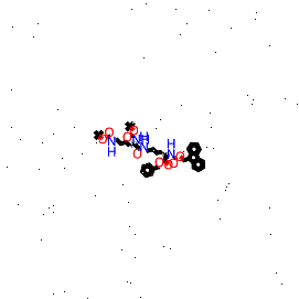 CC(C)(C)OC(=O)NCCCC[C@H](NC(=O)OC(C)(C)C)C(=O)NCCCC[C@H](NC(=O)OCC1c2ccccc2-c2ccccc21)C(=O)OCc1ccccc1